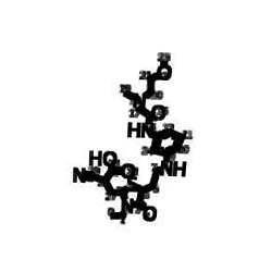 CCN1C(=O)C(CCNc2cccc(NC(=O)CN(C)CCOC)c2)SC1CC(C#N)C(=O)O